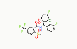 CS(=O)(=O)c1ccc(C(F)(F)F)cc1C(=O)NC(c1cccc(F)c1Cl)[C@]1(O)CC[C@H](F)CC1